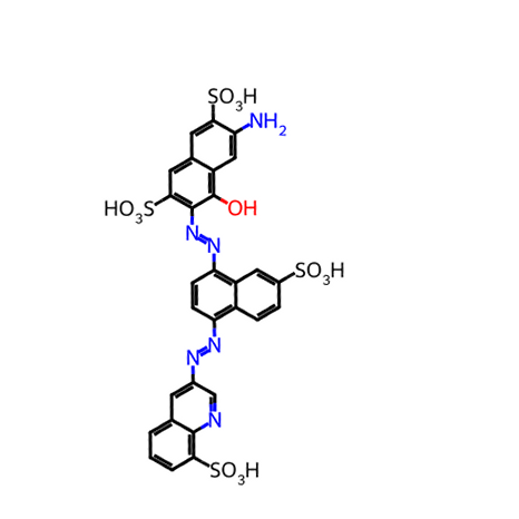 Nc1cc2c(O)c(/N=N/c3ccc(/N=N/c4cnc5c(S(=O)(=O)O)cccc5c4)c4ccc(S(=O)(=O)O)cc34)c(S(=O)(=O)O)cc2cc1S(=O)(=O)O